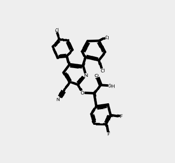 N#Cc1cc(-c2ccc(Cl)cc2)c(-c2ccc(Cl)cc2Cl)nc1OC(C(=O)O)c1ccc(F)c(F)c1